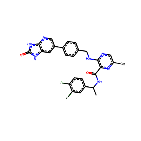 CC(NC(=O)c1nc(C#N)cnc1NCc1ccc(-c2cnc3[nH]c(=O)[nH]c3c2)cc1)c1ccc(F)c(F)c1